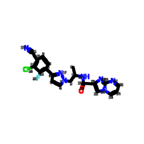 CC(Cn1ccc(-c2ccc(C#N)c(Cl)c2F)n1)NC(=O)c1cn2cccnc2n1